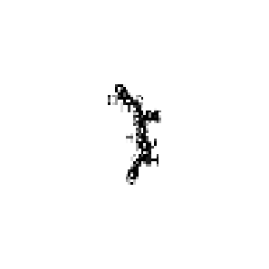 O=C(CCN1CCOCC1)Nc1ccc2c(=O)n(CC3(O)CCN(C(=O)[C@H](Cc4cscn4)NC(=O)CNC(=O)c4ccc5c(Cl)c6c(nc5c4)CCCC6)CC3)cnc2c1